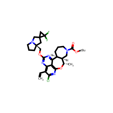 C=Cc1c(Cl)nc2c3c(nc(OC[C@@]45CCCN4CC4(CC4(F)F)C5)nc13)[C@H]1CCCN(C(=O)OC(C)(C)C)C[C@H]1[C@H](C)O2